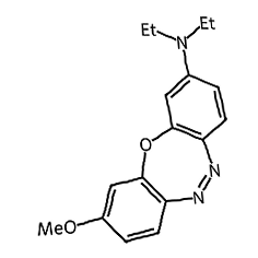 CCN(CC)c1ccc2c(c1)Oc1cc(OC)ccc1N=N2